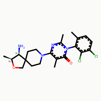 Cc1ccc(Cl)c(Cl)c1-n1c(C)nc(N2CCC3(CC2)CO[C@@H](C)[C@H]3N)c(C)c1=O